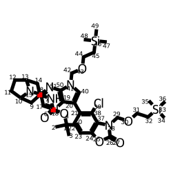 CC(C)(C)OC(=O)NC1CC2CCC(C1)N2c1cnc2c(-c3ccc4oc(=O)n(COCC[Si](C)(C)C)c4c3Cl)cn(COCC[Si](C)(C)C)c2n1